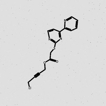 O=C(CSc1nccc(-c2ccccn2)n1)OCC#CCCl